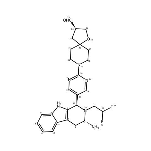 C[C@@H]1Cc2c([nH]c3ccccc23)[C@@H](c2cnc(N3CCC4(CC3)C[C@@H](C=O)CO4)nc2)N1CC(F)F